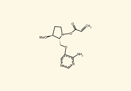 C=CC(=O)ON1CC[C@H](OC)[C@H]1COc1cncnc1N